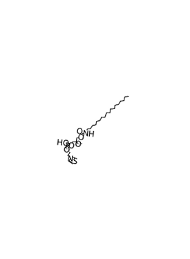 CCCCCCCCCCCCCCCCCCNC(=O)OCC(COP(O)OCCN1C=CSC1)OC